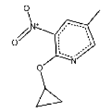 Cc1cnc(OC2CC2)c([N+](=O)[O-])c1